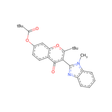 Cn1c(-c2c(C(C)(C)C)oc3cc(OC(=O)C(C)(C)C)ccc3c2=O)nc2ccccc21